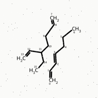 C=CC=CCCC.C=CCCC(C=C)CC